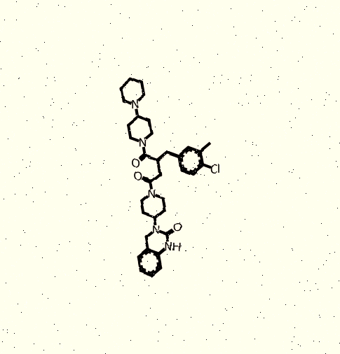 Cc1cc(CC(CC(=O)N2CCC(N3Cc4ccccc4NC3=O)CC2)C(=O)N2CCC(N3CCCCC3)CC2)ccc1Cl